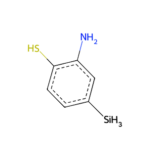 Nc1cc([SiH3])ccc1S